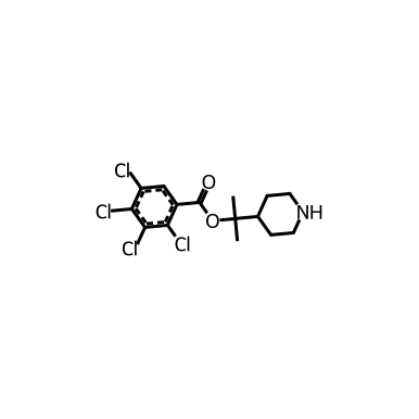 CC(C)(OC(=O)c1cc(Cl)c(Cl)c(Cl)c1Cl)C1CCNCC1